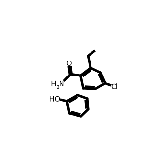 CCc1cc(Cl)ccc1C(N)=O.Oc1ccccc1